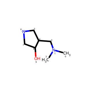 CN(C)CC1C[N]CC1O